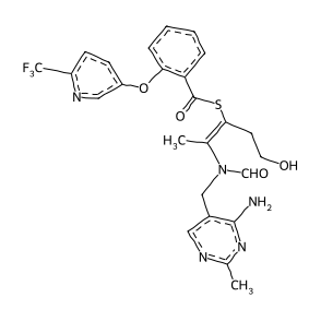 CC(=C(CCO)SC(=O)c1ccccc1Oc1ccc(C(F)(F)F)nc1)N(C=O)Cc1cnc(C)nc1N